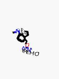 C/C=C\c1c(/C=C/OC(=NC(C)C)N(C)C=O)ccc(N(C)C)c1CC